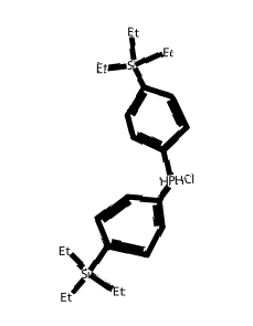 CC[Si](CC)(CC)c1ccc(Pc2ccc([Si](CC)(CC)CC)cc2)cc1.Cl